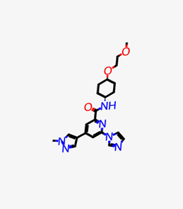 COCCO[C@H]1CC[C@H](NC(=O)c2cc(-c3cnn(C)c3)cc(-n3ccnc3)n2)CC1